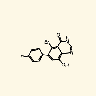 O=c1[nH]cnc2c(O)cc(-c3ccc(F)cc3)c(Br)c12